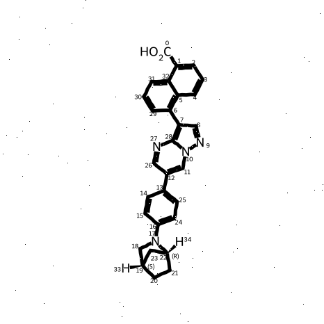 O=C(O)c1cccc2c(-c3cnn4cc(-c5ccc(N6C[C@H]7CC[C@@H]6C7)cc5)cnc34)cccc12